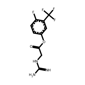 N=C(N)NCC(=O)Oc1ccc(F)c(C(F)(F)F)c1